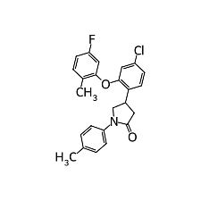 Cc1ccc(N2CC(c3ccc(Cl)cc3Oc3cc(F)ccc3C)CC2=O)cc1